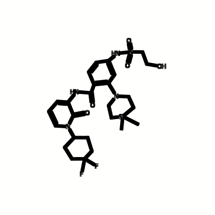 C[Si]1(C)CCN(c2cc(NS(=O)(=O)CCO)ccc2C(=O)Nc2cccn(C3CCC(F)(F)CC3)c2=O)CC1